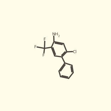 Nc1cc(Cl)c(-c2ccccc2)cc1C(F)(F)F